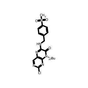 CC[C@@H](C)n1c(=O)c(NCc2ccc(S(C)(=O)=O)cc2)nc2cnc(Cl)nc21